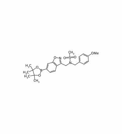 COc1ccc(CN(Cc2noc3cc(B4OC(C)(C)C(C)(C)O4)ccc23)S(C)(=O)=O)cc1